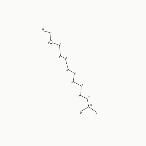 CCOCCCCCCCCCC(C)C